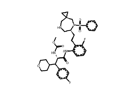 COC(=O)N[C@H](C(=O)Nc1cccc(F)c1CC[C@H]1CNCC2(CC2)CN1S(=O)(=O)c1ccccc1)C(c1ccc(F)cc1)C1CCOCC1